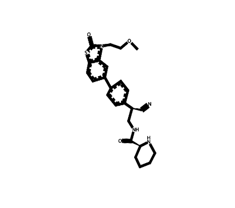 COCCn1c(=O)sc2ccc(-c3ccc([C@@H](C#N)CNC(=O)[C@@H]4CCCCN4)cc3)cc21